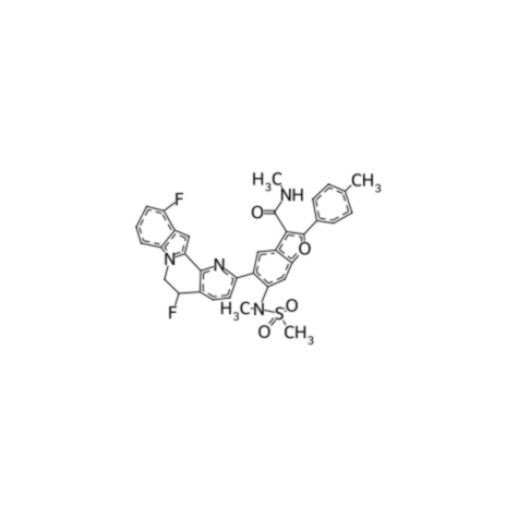 CNC(=O)c1c(-c2ccc(C)cc2)oc2cc(N(C)S(C)(=O)=O)c(-c3ccc4c(n3)-c3cc5c(F)cccc5n3CC4F)cc12